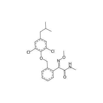 CNC(=O)C(=NOC)c1ccccc1COc1c(Cl)cc(CC(C)C)cc1Cl